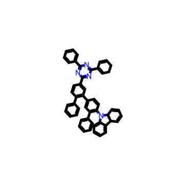 C1=CC2c3ccccc3N(c3ccc(-c4cc(-c5nc(C6=CCCC=C6)nc(-c6ccccc6)n5)ccc4-c4ccccc4)cc3-c3ccccc3)C2C=C1